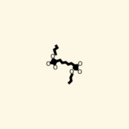 CCCCOc1c(CCCCCc2c(OCCCC)c(=O)c2=O)c(=O)c1=O